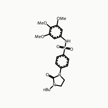 CCCCN1CCN(c2ccc(S(=O)(=O)Nc3cc(OC)c(OC)c(OC)c3)cc2)C1=O